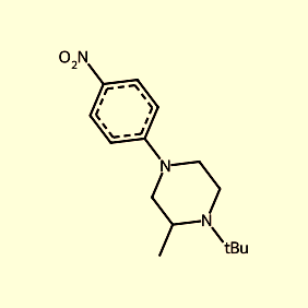 CC1CN(c2ccc([N+](=O)[O-])cc2)CCN1C(C)(C)C